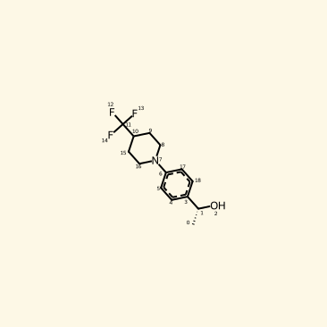 C[C@@H](O)c1ccc(N2CCC(C(F)(F)F)CC2)cc1